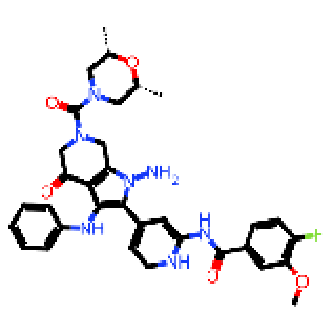 COc1cc(C(=O)NC2=CC(c3c(Nc4ccccc4)c4c(n3N)CN(C(=O)N3C[C@@H](C)O[C@@H](C)C3)CC4=O)=CCN2)ccc1F